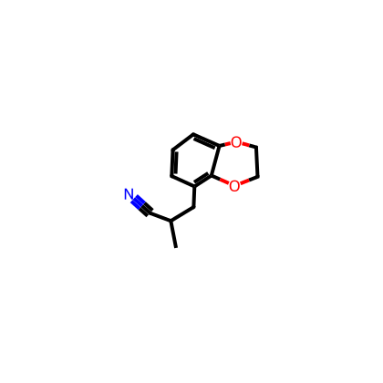 CC(C#N)Cc1cccc2c1OCCO2